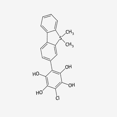 CS1(C)c2ccccc2-c2ccc(-c3c(O)c(O)c(Cl)c(O)c3O)cc21